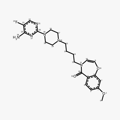 COc1ccc2c(c1)OC=CN(CCCCN1CCN(c3ncc(F)c(N)n3)CC1)C2=O